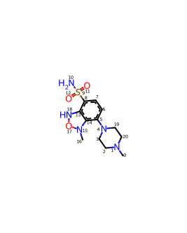 CN1CCN(c2ccc(S(N)(=O)=O)c3c2N(C)ON3)CC1